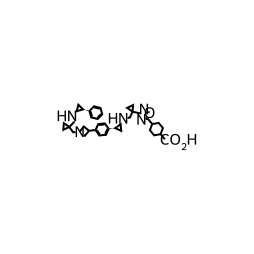 O=C(O)C1CCC(c2nc(C3(CN[C@H]4C[C@@H]4c4ccc(C5CN(CC6(CN[C@H]7C[C@@H]7c7ccccc7)CC6)C5)cc4)CC3)no2)CC1